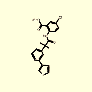 COC(=O)c1cc(Cl)ccc1NC(=O)C(C)(C)c1cccc(-c2ccoc2)c1